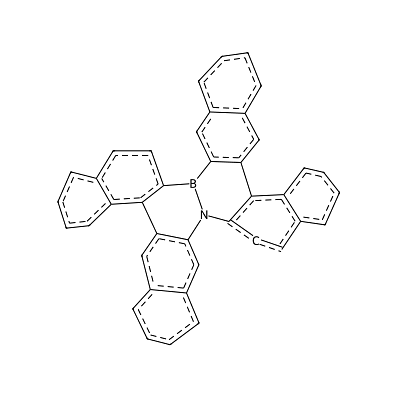 c1ccc2cc3c(cc2c1)B1c2ccc4ccccc4c2-c2cc4ccccc4cc2N1c1ccc2ccccc2c1-3